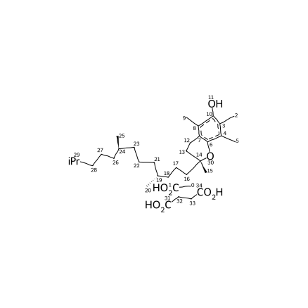 CC(=O)O.Cc1c(C)c2c(c(C)c1O)CC[C@@](C)(CCC[C@H](C)CCC[C@H](C)CCCC(C)C)O2.O=C(O)CCC(=O)O